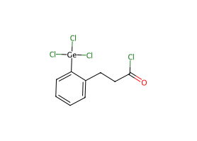 O=C(Cl)CCc1cccc[c]1[Ge]([Cl])([Cl])[Cl]